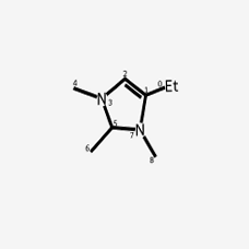 CCC1=CN(C)C(C)N1C